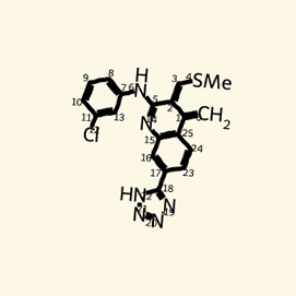 C=c1/c(=C\SC)c(Nc2cccc(Cl)c2)nc2cc(-c3nnn[nH]3)ccc12